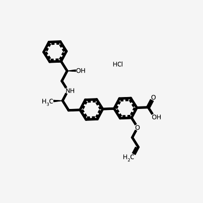 C=CCOc1cc(-c2ccc(C[C@@H](C)NC[C@H](O)c3ccccc3)cc2)ccc1C(=O)O.Cl